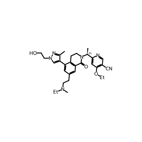 CCOc1cc([C@H](C)N2CCc3c(cc(CCN(C)CC)cc3-c3cn(CCO)nc3C)C2=O)ncc1C#N